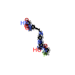 CN(CCCC#Cc1ccc2c(c1)n(C)c(=O)n2C1CCC(=O)NC1=O)CC1CCC(n2cc3cc(NC(=O)c4cccc(C(F)(F)F)n4)c(C(C)(C)O)cc3n2)CC1